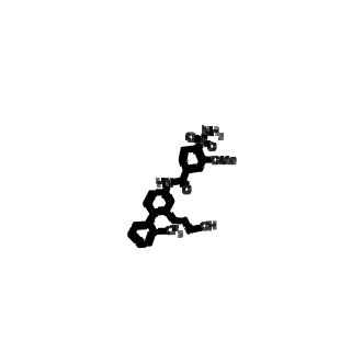 COc1cc(C(=O)Nc2ccc(-c3ccccc3C(F)(F)F)c(CCCO)c2)ccc1S(N)(=O)=O